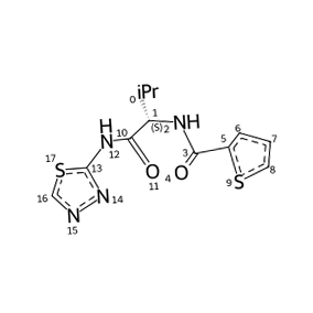 CC(C)[C@H](NC(=O)c1cccs1)C(=O)Nc1nncs1